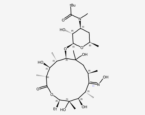 CC[C@H]1OC(=O)[C@H](C)[C@@H](O)[C@H](C)[C@@H](O[C@@H]2O[C@H](C)C[C@H](N(C)C(=O)C(C)(C)C)[C@H]2O)C(C)(O)C[C@@H](C)/C(=N\O)[C@H](C)[C@@H](O)[C@]1(C)O